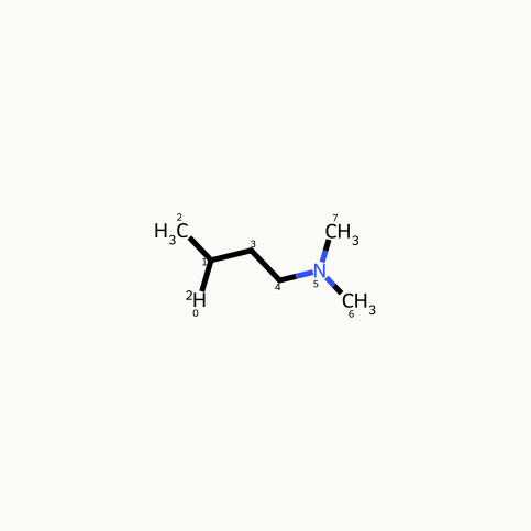 [2H]C(C)CCN(C)C